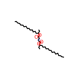 CCCCCCCCCCCCCCCC(CC)OC(=O)/C=C/C(=O)OC(CC)CCCCCCCCCCCCCCC